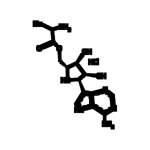 CCC(C)C(N)C(=O)OC[C@H]1N[C@@H](c2c[nH]c3c(N)ncnc23)[C@H](O)[C@@H]1O.Cl